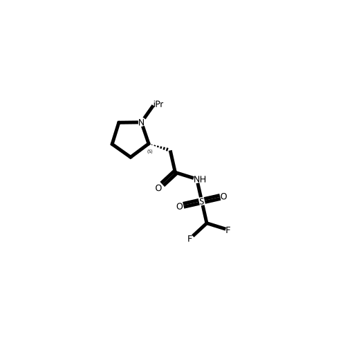 CC(C)N1CCC[C@H]1CC(=O)NS(=O)(=O)C(F)F